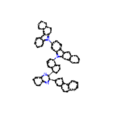 c1ccc2cc3c(cc2c1)c1ccc(-n2c4ccccc4c4c5ccccc5ccc42)cc1n3-c1cccc2c(-c3nc4ccccc4nc3-c3ccc4c(ccc5ccccc54)c3)cccc12